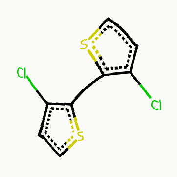 Clc1ccsc1-c1sccc1Cl